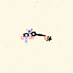 Cn1c(=O)n(C2CCC(=O)NC2O)c2ccc(C#CCO[Si](C)(C)C(C)(C)C)cc21